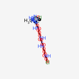 Cc1nc(Nc2ncc(C(=O)Nc3c(C)cccc3Cl)s2)cc(N2CCN(CCOCCNC(=O)OCCOCCOCCNC(=O)OC/C=C/COC(=O)NCCOCCOCCOC(=O)NCCOCCOCl)CC2)n1